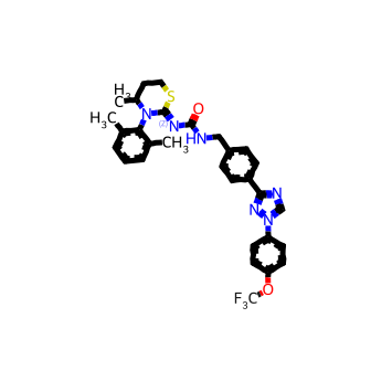 Cc1cccc(C)c1N1/C(=N/C(=O)NCc2ccc(-c3ncn(-c4ccc(OC(F)(F)F)cc4)n3)cc2)SCCC1C